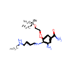 CC(C)(C)[Si](C)(C)OCCOc1cc(C(N)=O)cc(N)c1NC/C=C/CNC(=O)O